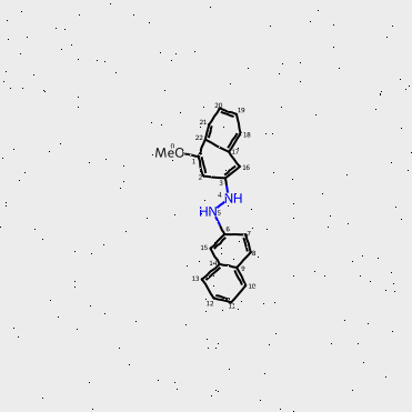 COc1cc(NNc2ccc3ccccc3c2)cc2ccccc12